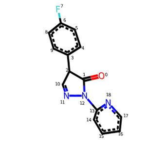 O=C1C(c2ccc(F)cc2)C=NN1c1ccccn1